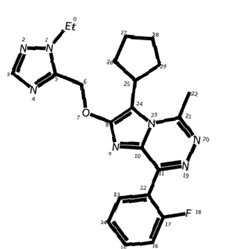 CCn1ncnc1COc1nc2c(-c3ccccc3F)nnc(C)n2c1C1CCCC1